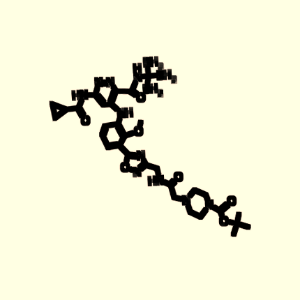 BC(B)(B)NC(=O)c1nnc(NC(=O)C2CC2)cc1Nc1cccc(-c2nc(CNC(=O)CN3CCN(C(=O)OC(C)(C)C)CC3)no2)c1OC